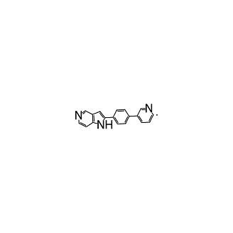 [c]1ccc(-c2ccc(-c3cc4cnccc4[nH]3)cc2)cn1